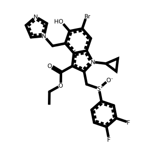 CCOC(=O)c1c(C[S+]([O-])c2ccc(F)c(F)c2)n(C2CC2)c2cc(Br)c(O)c(Cn3ccnc3)c12